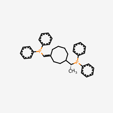 C[C@H](C1CCCC/C(=C\P(c2ccccc2)c2ccccc2)CC1)P(c1ccccc1)c1ccccc1